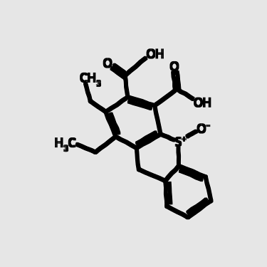 CCc1c(CC)c(C(=O)O)c(C(=O)O)c2c1Cc1ccccc1[S+]2[O-]